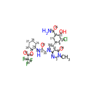 Cn1cnc2c(c(-c3cc(Cl)c(O)c(C(N)=O)c3)cn2CC(=O)NC2CCCCC2OC(=O)C(F)(F)F)c1=O